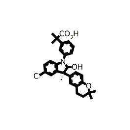 CC1(C)CCc2cc([C@@]3(C)c4cc(Cl)ccc4N(c4cccc(C(C)(C)C(=O)O)c4)C3O)ccc2O1